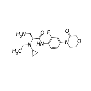 CCN(C1CC1)[C@@H](CN)C(=O)Nc1ccc(N2CCOCC2=O)cc1F